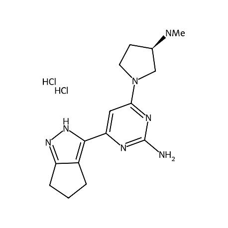 CN[C@@H]1CCN(c2cc(-c3[nH]nc4c3CCC4)nc(N)n2)C1.Cl.Cl